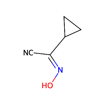 N#CC(=NO)C1CC1